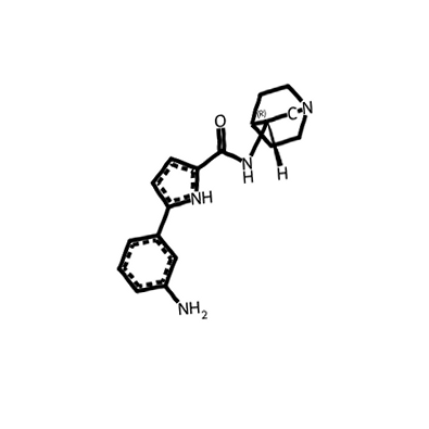 Nc1cccc(-c2ccc(C(=O)N[C@H]3CN4CCC3CC4)[nH]2)c1